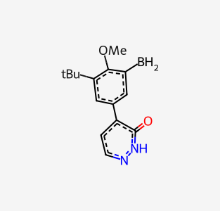 Bc1cc(-c2ccn[nH]c2=O)cc(C(C)(C)C)c1OC